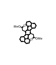 COC(=O)Cc1c2c3cccc4cccc(c2c(CC(=O)OC)c2c5cccc6cccc(c12)c65)c43